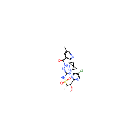 CO[C@H](c1ncc(Cl)cn1)[C@H](C)S(=O)(=O)N/C(=N/NC(=O)c1cncc(C)c1)N[C@H]1CC12CC2